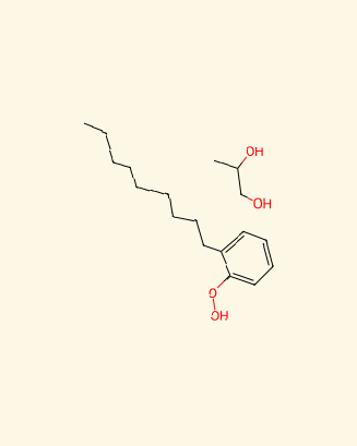 CC(O)CO.CCCCCCCCCc1ccccc1OO